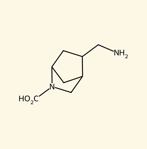 NCC1CC2CC1CN2C(=O)O